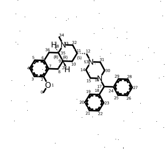 COc1cccc2c1C[C@H]1C[C@@H](CN3CCN(C(c4ccccc4)c4ccccc4)CC3)CN(C)[C@@H]1C2